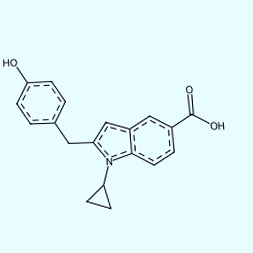 O=C(O)c1ccc2c(c1)cc(Cc1ccc(O)cc1)n2C1CC1